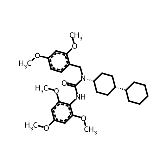 COc1ccc(CN(C(=O)Nc2c(OC)cc(OC)cc2OC)[C@H]2CC[C@@H](C3CCCCC3)CC2)c(OC)c1